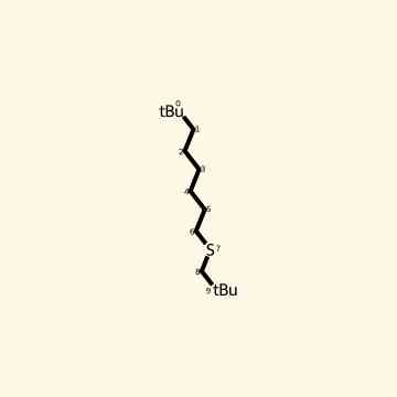 CC(C)(C)CCCCCCSCC(C)(C)C